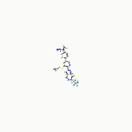 CCSc1cc(-c2ccc(C3(C#N)CC3)cc2)cnc1-n1cc2cnc(C(F)(F)C(F)(F)F)cc2n1